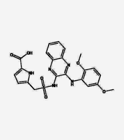 COc1ccc(OC)c(Nc2nc3ccccc3nc2NS(=O)(=O)Cc2ccc(C(=O)O)[nH]2)c1